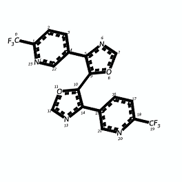 FC(F)(F)c1ccc(-c2ncoc2-c2ocnc2-c2ccc(C(F)(F)F)nc2)cn1